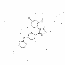 CSc1cc(Cl)ccc1-n1c(C)nnc1[C@H]1CC[C@H](Oc2ccccn2)CC1